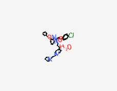 Clc1ccc(OCc2nc3c(OCc4ccccc4)cccc3n2CCCC2CCN(CCCN3CCCCC3)CC2)cc1.O